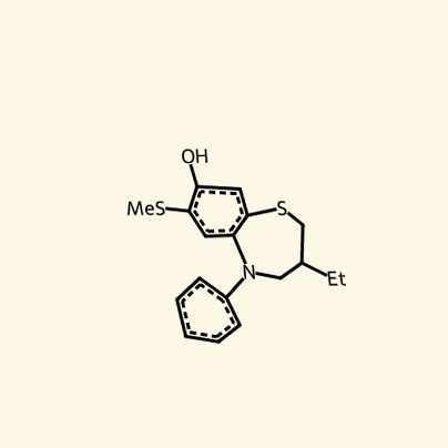 CCC1CSc2cc(O)c(SC)cc2N(c2ccccc2)C1